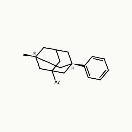 CC(=O)C12CC3C[C@@](C)(C1)C[C@](c1ccccc1)(C3)C2